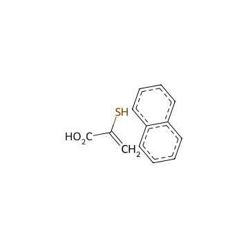 C=C(S)C(=O)O.c1ccc2ccccc2c1